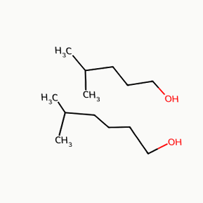 CC(C)CCCCO.CC(C)CCCO